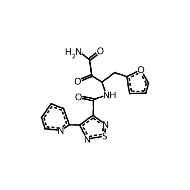 NC(=O)C(=O)C(Cc1ccco1)NC(=O)c1nsnc1-c1ccccn1